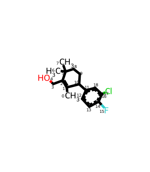 CC1=C(CO)C(C)(C)CCC1c1ccc(F)c(Cl)c1